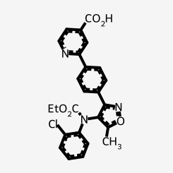 CCOC(=O)N(c1ccccc1Cl)c1c(-c2ccc(-c3cc(C(=O)O)ccn3)cc2)noc1C